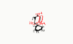 CC(C(=O)O)C(O)(O)c1ccccc1